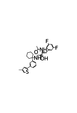 CC(=O)N[C@@H](Cc1cc(F)cc(F)c1)[C@H](O)CNC1(c2cccc(-c3cc(C)cs3)c2)CCCCC1